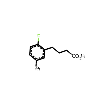 CC(C)c1ccc(F)c(CCCC(=O)O)c1